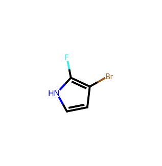 Fc1[nH]ccc1Br